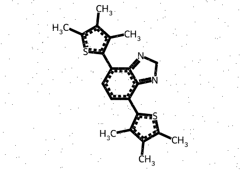 Cc1sc(-c2ccc(-c3sc(C)c(C)c3C)c3c2=NCN=3)c(C)c1C